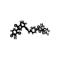 CC(C)(C)OC(=O)N1CCN(CC#Cc2cccc3c2CN(C2CCC(=O)NC2=O)C3=O)CC1